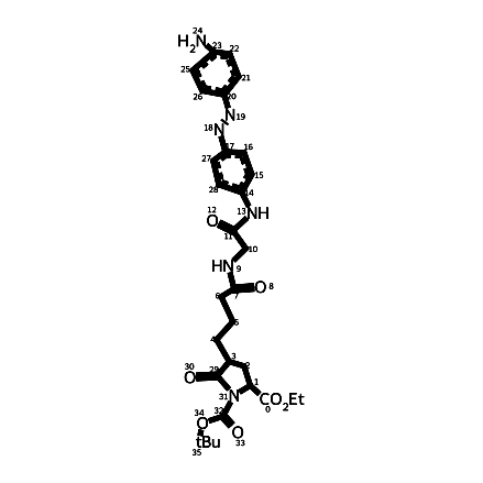 CCOC(=O)C1CC(CCCC(=O)NCC(=O)Nc2ccc(/N=N/c3ccc(N)cc3)cc2)C(=O)N1C(=O)OC(C)(C)C